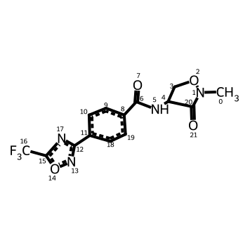 CN1OCC(NC(=O)c2ccc(-c3noc(C(F)(F)F)n3)cc2)C1=O